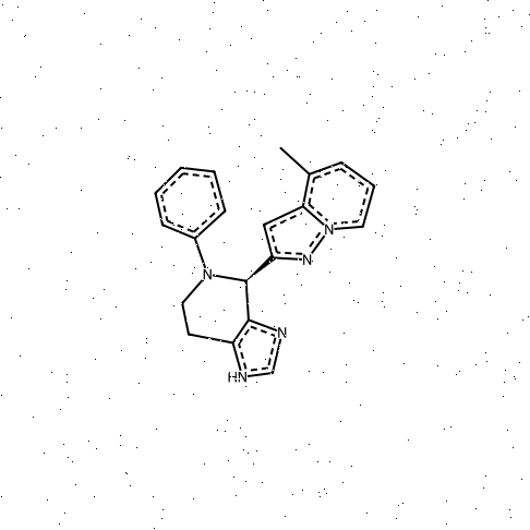 Cc1cccn2nc([C@H]3c4nc[nH]c4CCN3c3ccccc3)cc12